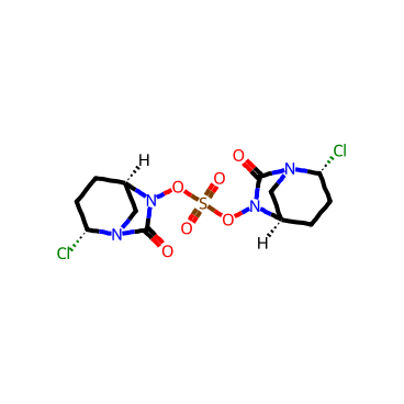 O=C1N2C[C@@H](CC[C@H]2Cl)N1OS(=O)(=O)ON1C(=O)N2C[C@H]1CC[C@H]2Cl